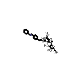 Nc1nc(NCCc2ccc(/C=C/C3CCCCC3)cc2)nc2c1ncn2[C@@H]1O[C@H](CO)[C@@H](O)[C@H]1O